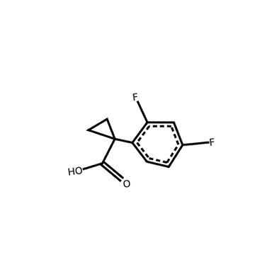 O=C(O)C1(c2ccc(F)cc2F)CC1